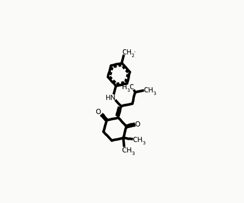 [CH2]c1ccc(NC(CC(C)C)=C2C(=O)CCC(C)(C)C2=O)cc1